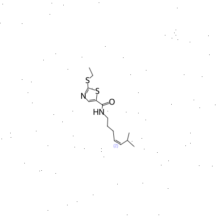 CCSc1ncc(C(=O)NCCC/C=C\C(C)C)s1